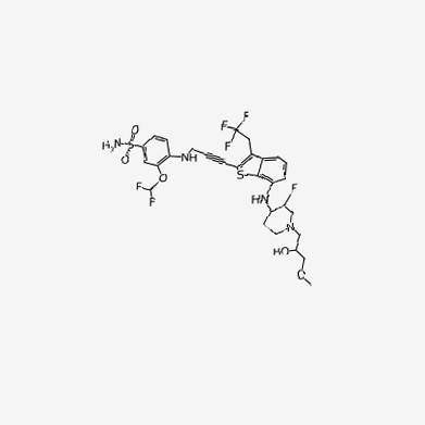 COCC(O)CN1CCC(Nc2cccc3c(CC(F)(F)F)c(C#CCNc4ccc(S(N)(=O)=O)cc4OC(F)F)sc23)C(F)C1